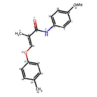 COc1ccc(NC(=O)C(C)=COc2ccc(C)cc2)cc1